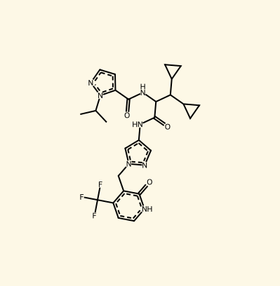 CC(C)n1nccc1C(=O)NC(C(=O)Nc1cnn(Cc2c(C(F)(F)F)cc[nH]c2=O)c1)C(C1CC1)C1CC1